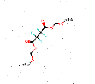 CCCCCCOCOC(=O)C(F)(F)C(F)(F)C(=O)OCOCCCCCC